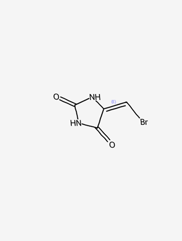 O=C1NC(=O)/C(=C\Br)N1